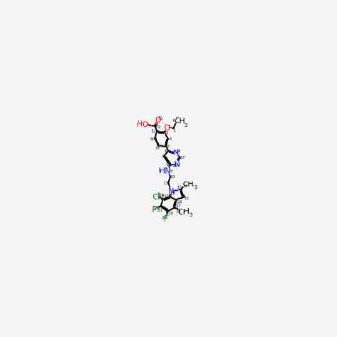 CCOc1cc(-c2cc(NCCn3c(C)cc4c(C)c(F)c(F)c(Cl)c43)ncn2)ccc1C(=O)O